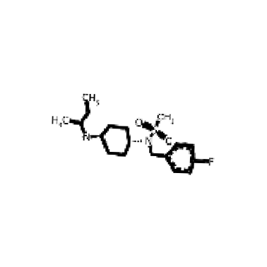 CCC(C)[N][C@H]1CC[C@H](N(Cc2ccc(F)cc2)S(C)(=O)=O)CC1